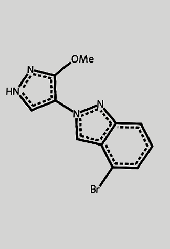 COc1n[nH]cc1-n1cc2c(Br)cccc2n1